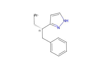 C[C](C)C[C@@H](Cc1ccccc1)c1cc[nH]n1